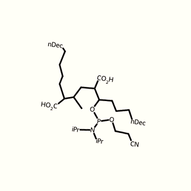 CCCCCCCCCCCCCCC(C(=O)O)C(C)CC(C(=O)O)C(CCCCCCCCCCCCC)OP(OCCC#N)N(C(C)C)C(C)C